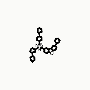 c1ccc(-c2ccc(-c3nc(-c4cccc(-c5ccccc5)c4)nc(-c4ccc5oc6ccc(-c7ccccc7)cc6c5c4)n3)cc2)cc1